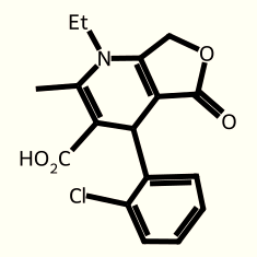 CCN1C(C)=C(C(=O)O)C(c2ccccc2Cl)C2=C1COC2=O